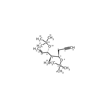 C#CC[C@@H](O[Si](C)(C)C)[C@@H](C)[C@H](C=C)O[Si](C)(C)C